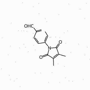 C=C(C=O)/C=C\C(=C/C)N1C(=O)C(C)=C(C)C1=O